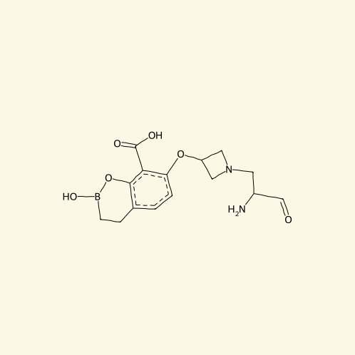 NC(C=O)CN1CC(Oc2ccc3c(c2C(=O)O)OB(O)CC3)C1